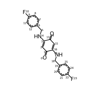 O=C1C=C(NCc2ccc(F)cc2)C(=O)C=C1NCc1ccc(F)cc1